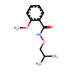 COc1ccccc1C(=O)NOCC(C)C